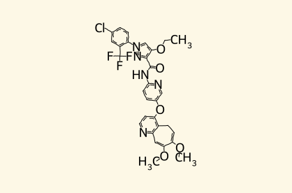 CCOc1cn(-c2ccc(Cl)cc2C(F)(F)F)nc1C(=O)Nc1ccc(Oc2ccnc3c2CC=C(OC)C(OC)=C3)cn1